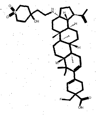 C=C(C)[C@@H]1CC[C@]2(NCCC3(O)CCS(=O)(=O)CC3)CC[C@]3(C)[C@H](CC[C@@H]4[C@@]5(C)CC=C(C6=CCC(CF)(C(=O)O)CC6)C(C)(C)[C@@H]5CC[C@]43C)[C@@H]12